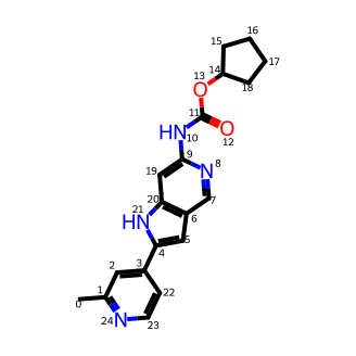 Cc1cc(-c2cc3cnc(NC(=O)OC4CCCC4)cc3[nH]2)ccn1